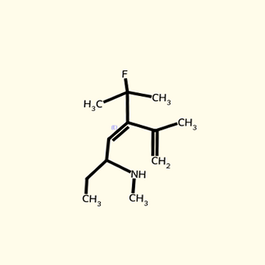 C=C(C)/C(=C\C(CC)NC)C(C)(C)F